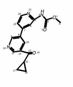 COC(=O)Nc1cc(-c2cncc(C(=O)C3CC3)c2)ccn1